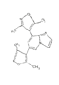 Cc1noc(C)c1-c1cc(-c2c(C)noc2C)c2nccn2c1